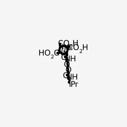 CC(C)CCCNC(=O)CCOCCOCCNC(=O)CN1CCN(CC(=O)O)CCN(CC(=O)O)CCN(CC(=O)O)CC1